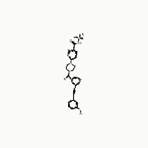 CCOc1cccc(C#Cc2cncc(C(=O)N3CCN(c4ccc(C(=O)NS(C)(=O)=O)nn4)CC3)c2)c1